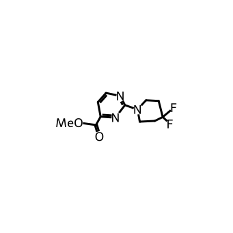 COC(=O)c1ccnc(N2CCC(F)(F)CC2)n1